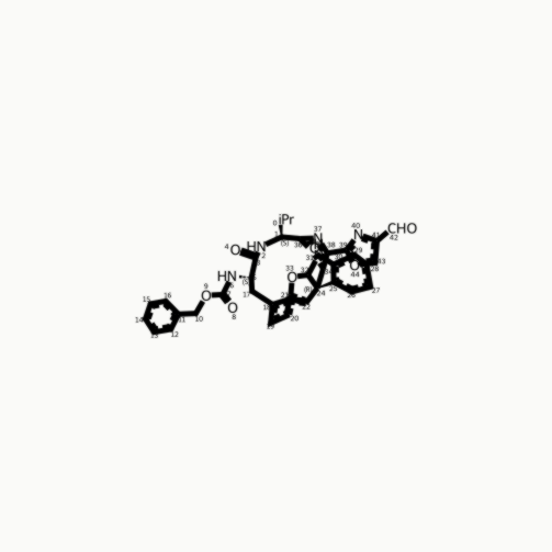 CC(C)[C@@H]1NC(=O)[C@@H](NC(=O)OCc2ccccc2)Cc2ccc3c(c2)[C@@]2(c4ccccc4NC2O3)c2oc1nc2-c1nc(C=O)co1